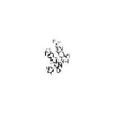 Cc1cncc(-n2c(=O)nc(Nc3cc4cn(CC(F)F)nc4cc3Cl)n(Cc3cc(Cl)c(F)cn3)c2=O)c1